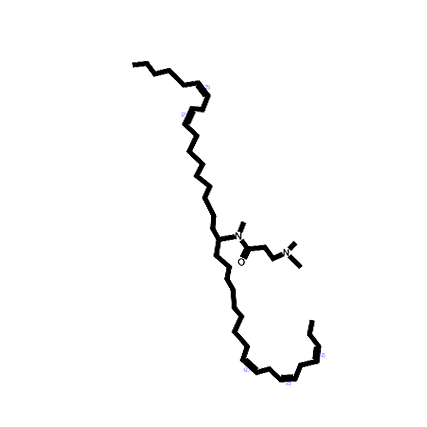 CC/C=C\C/C=C\C/C=C\CCCCCCCCC(CCCCCCCC/C=C\C/C=C\CCCCC)N(C)C(=O)CCN(C)C